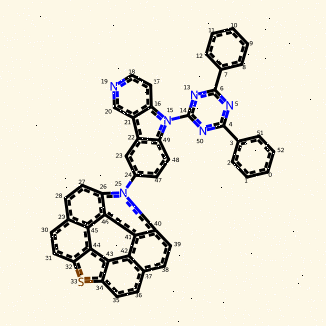 c1ccc(-c2nc(-c3ccccc3)nc(-n3c4ccncc4c4cc(-n5c6ccc7ccc8sc9ccc%10ccc5c5c%10c9c8c7c56)ccc43)n2)cc1